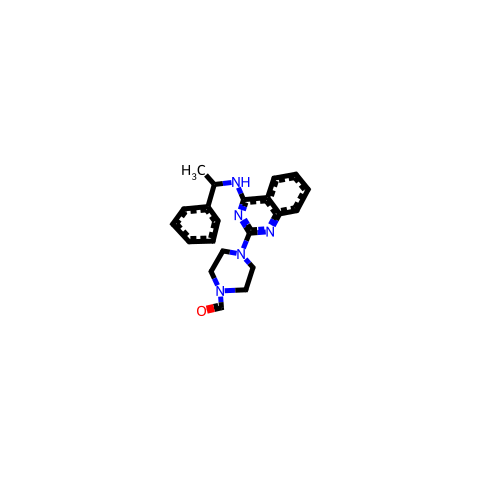 CC(Nc1nc(N2CCN(C=O)CC2)nc2ccccc12)c1ccccc1